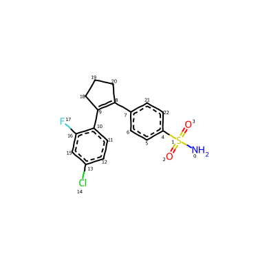 NS(=O)(=O)c1ccc(C2=C(c3ccc(Cl)cc3F)CCC2)cc1